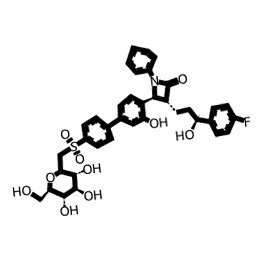 O=C1[C@H](CC[C@H](O)c2ccc(F)cc2)[C@@H](c2ccc(-c3ccc(S(=O)(=O)CC4O[C@H](CO)[C@@H](O)[C@H](O)[C@H]4O)cc3)cc2O)N1c1ccccc1